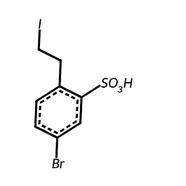 O=S(=O)(O)c1cc(Br)ccc1CCI